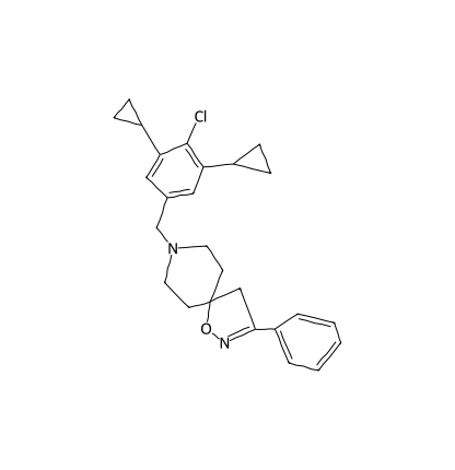 Clc1c(C2CC2)cc(CN2CCC3(CC2)CC(c2ccccc2)=NO3)cc1C1CC1